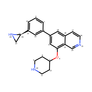 c1cc(-c2cc(OC3CCNCC3)c3cnccc3c2)cc([C@H]2CN2)c1